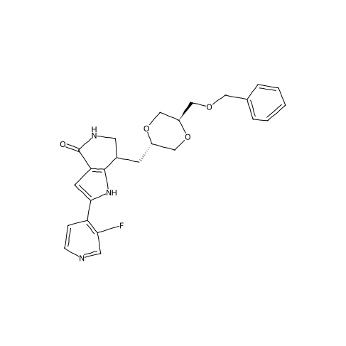 O=C1NCC(C[C@H]2CO[C@H](COCc3ccccc3)CO2)c2[nH]c(-c3ccncc3F)cc21